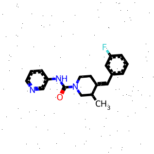 CC1CN(C(=O)Nc2cccnc2)CCC1=Cc1cccc(F)c1